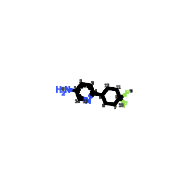 Nc1ccc(C2CCC(F)(F)CC2)nc1